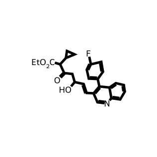 CCOC(=O)C(C(=O)CC(O)C=Cc1cnc2ccccc2c1-c1ccc(F)cc1)C1CC1